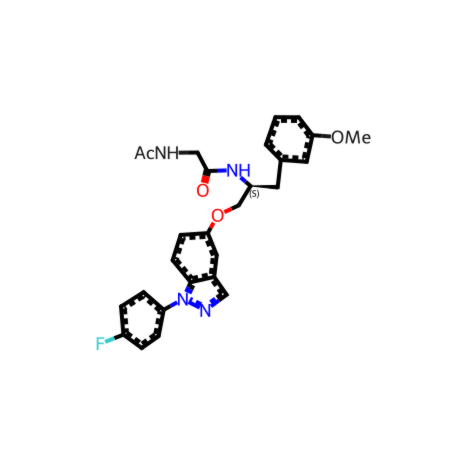 COc1cccc(C[C@@H](COc2ccc3c(cnn3-c3ccc(F)cc3)c2)NC(=O)CNC(C)=O)c1